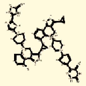 O=c1[nH]nc(-c2ccc(N3CCC(OCc4c(-c5cccc(C6CC6c6onc(-c7c(Cl)cccc7Cl)c6COC6CCN(c7cnc(-c8noc(=O)[nH]8)s7)CC6)c5OC(F)(F)F)noc4C4CC4)CC3)cc2)c(=O)[nH]1